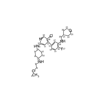 COCCN[C@H]1CC[C@H](Nc2cc(-c3ccc(F)c(NCC4CCOCC4)c3)c(Cl)cn2)CC1